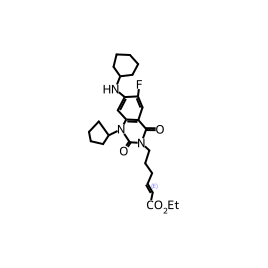 CCOC(=O)/C=C/CCCn1c(=O)c2cc(F)c(NC3CCCCC3)cc2n(C2CCCC2)c1=O